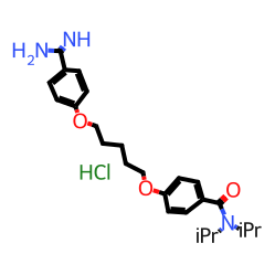 CC(C)N(C(=O)c1ccc(OCCCCCOc2ccc(C(=N)N)cc2)cc1)C(C)C.Cl